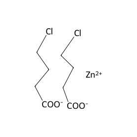 O=C([O-])CCCCl.O=C([O-])CCCCl.[Zn+2]